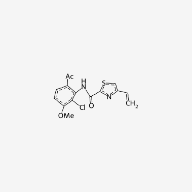 C=Cc1csc(C(=O)Nc2c(C(C)=O)ccc(OC)c2Cl)n1